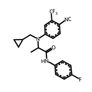 [C-]#[N+]c1ccc(N(CC2CC2)C(C)C(=O)Nc2ccc(F)cc2)cc1C(F)(F)F